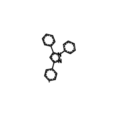 [c]1ccc(-c2cc(-c3ccccc3)n(-c3ccccc3)n2)cc1